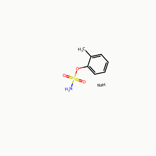 Cc1ccccc1OS(N)(=O)=O.[NaH]